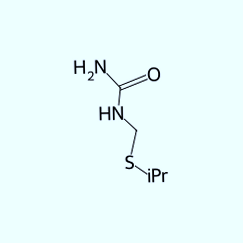 CC(C)SCNC(N)=O